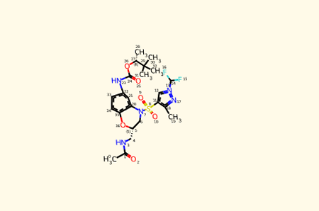 CC(=O)NC[C@H]1CN(S(=O)(=O)c2cn(C(F)F)nc2C)c2cc(NC(=O)O[C@H](C)C(C)(C)C)ccc2O1